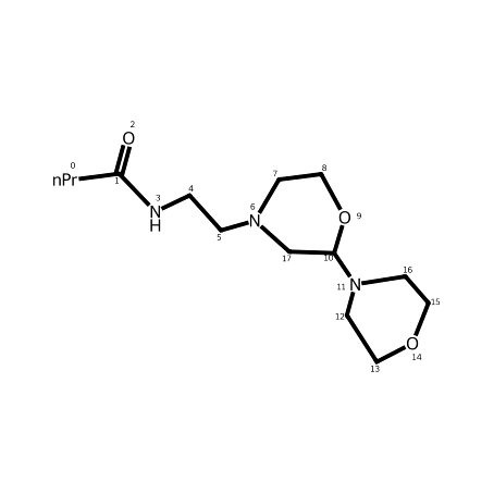 CCCC(=O)NCCN1CCOC(N2CCOCC2)C1